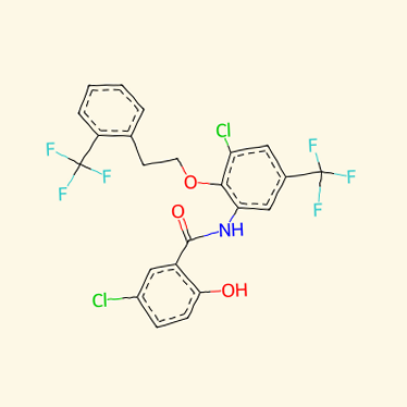 O=C(Nc1cc(C(F)(F)F)cc(Cl)c1OCCc1ccccc1C(F)(F)F)c1cc(Cl)ccc1O